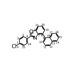 Clc1ccc(-c2nc3c(-c4cccc5ccccc45)cccc3o2)cc1